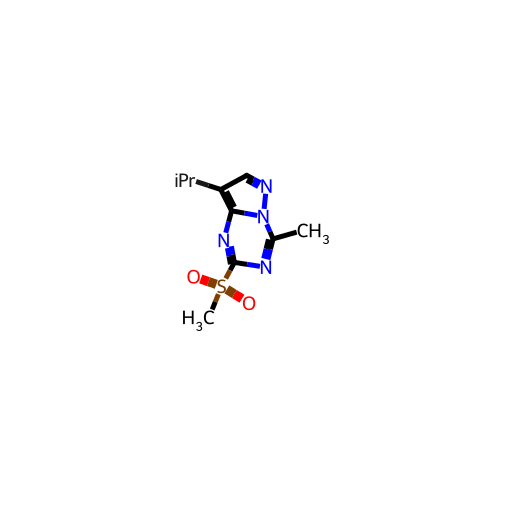 Cc1nc(S(C)(=O)=O)nc2c(C(C)C)cnn12